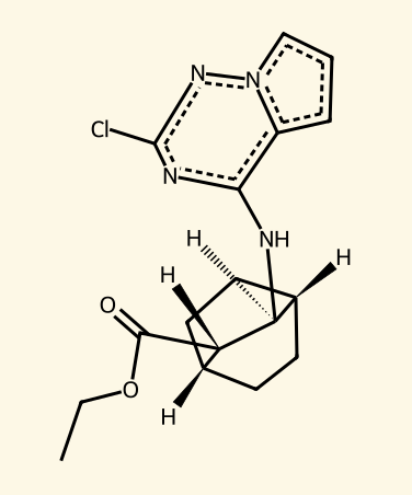 CCOC(=O)[C@H]1[C@H]2CC[C@H](CC2)[C@@H]1Nc1nc(Cl)nn2cccc12